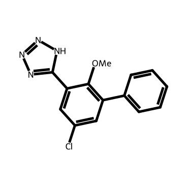 COc1c(-c2ccccc2)cc(Cl)cc1-c1nnn[nH]1